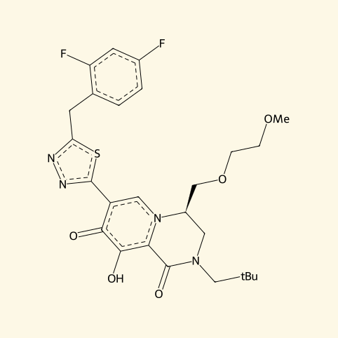 COCCOC[C@H]1CN(CC(C)(C)C)C(=O)c2c(O)c(=O)c(-c3nnc(Cc4ccc(F)cc4F)s3)cn21